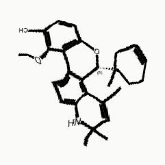 COc1c(O)ccc2c1-c1ccc3c(c1[C@@H](C1(C)CC=CCC1)O2)C(C)=CC(C)(C)N3